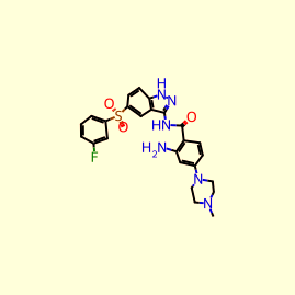 CN1CCN(c2ccc(C(=O)Nc3n[nH]c4ccc(S(=O)(=O)c5cccc(F)c5)cc34)c(N)c2)CC1